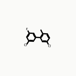 Cc1ccc(Cl)cc1-c1cc(F)cc(Cl)c1